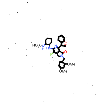 COc1ccc(CN2Cc3c(F)c(NC4CCCCC4NC(=O)O)nc(-c4coc5ccccc45)c3C2=O)c(OC)c1